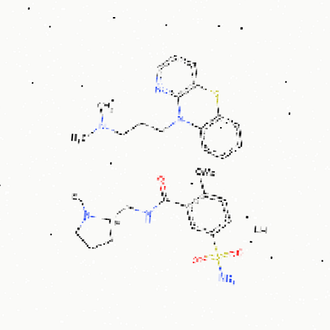 CCN1CCC[C@H]1CNC(=O)c1cc(S(N)(=O)=O)ccc1OC.CN(C)CCCN1c2ccccc2Sc2cccnc21.[LiH]